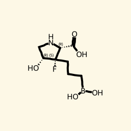 O=C(O)[C@H]1NC[C@@H](O)[C@]1(F)CCCB(O)O